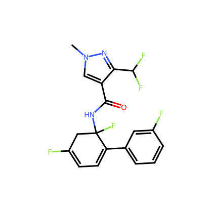 Cn1cc(C(=O)NC2(F)CC(F)=CC=C2c2cccc(F)c2)c(C(F)F)n1